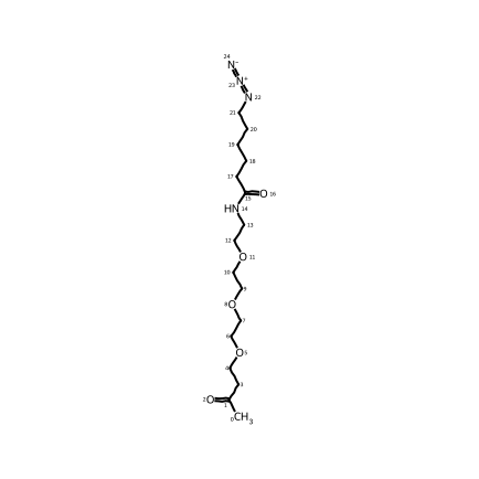 CC(=O)CCOCCOCCOCCNC(=O)CCCCCN=[N+]=[N-]